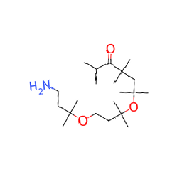 CC(C)C(=O)C(C)(C)CC(C)(C)OC(C)(C)CCOC(C)(C)CCN